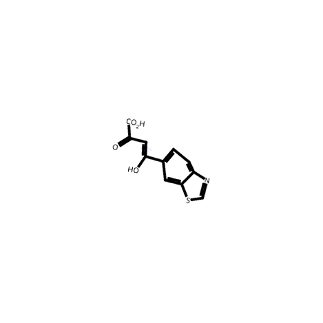 O=C(O)C(=O)/C=C(\O)c1ccc2ncsc2c1